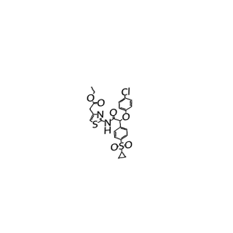 CCOC(=O)Cc1csc(NC(=O)C(Oc2ccc(Cl)cc2)c2ccc(S(=O)(=O)C3CC3)cc2)n1